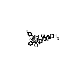 CN1C=C2C(=O)N(C3CCN(C(=O)[C@H](NC(=O)Nc4ccc(F)cc4)c4ccccc4)CC3)CN2C1